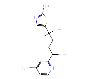 CC(CCC(C)(C)c1cnc(C(C)(C)C)s1)c1cc(C(C)(C)C)ccn1